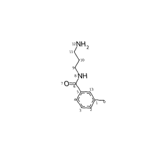 Cc1cccc(C(=O)NCCCN)c1